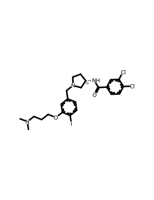 CN(C)CCCOc1cc(CN2CC[C@H](NC(=O)c3ccc(Cl)c(Cl)c3)C2)ccc1I